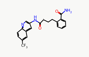 NC(=O)c1ccccc1CC[CH]C(=O)Nc1cnc2ccc(C(F)(F)F)cc2c1